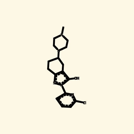 CN1CCN(C2CCc3nn(-c4cccc(Cl)n4)c(O)c3C2)CC1